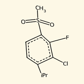 CC(C)c1ccc(S(C)(=O)=O)c(F)c1Cl